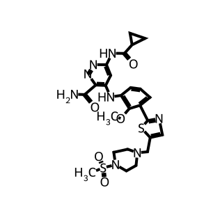 COc1c(Nc2cc(NC(=O)C3CC3)nnc2C(N)=O)cccc1-c1ncc(CN2CCN(S(C)(=O)=O)CC2)s1